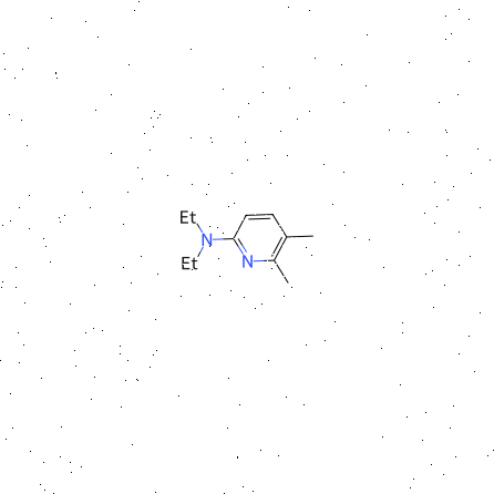 CCN(CC)c1ccc(C)c(C)n1